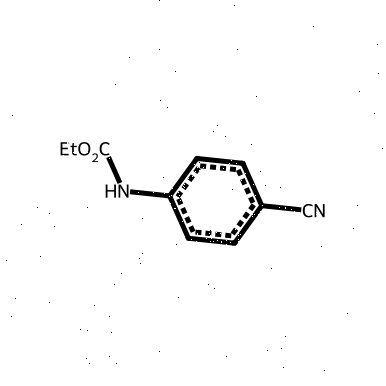 CCOC(=O)Nc1ccc(C#N)cc1